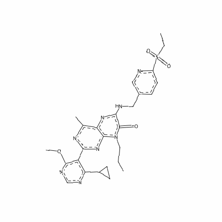 CCCn1c(=O)c(NCc2ccc(S(=O)(=O)CC)nc2)nc2c(C)nc(-c3c(OC)ncnc3C3CC3)nc21